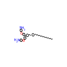 CCCCCCCCCCCCCCCCC[C@H]1CC[C@H](CCC2CCC(c3ccc(Oc4ccc(N)cc4)cc3)(c3ccc(Oc4ccc(N)cc4)cc3)CC2)CC1